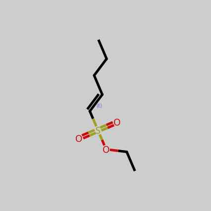 CCC/C=C/S(=O)(=O)OCC